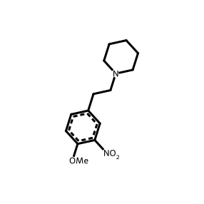 COc1ccc(CCN2CCCCC2)cc1[N+](=O)[O-]